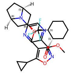 COC(=O)c1cnc(N2[C@@H]3CC[C@H]2C[C@@H](OCc2c([C@H]4CCCC[C@@H]4C(F)(F)F)noc2C2CC2)C3)cn1